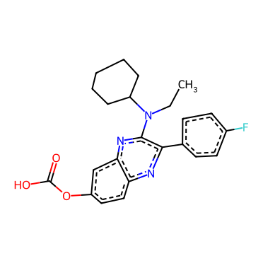 CCN(c1nc2cc(OC(=O)O)ccc2nc1-c1ccc(F)cc1)C1CCCCC1